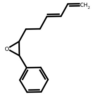 C=CC=CCCC1OC1c1ccccc1